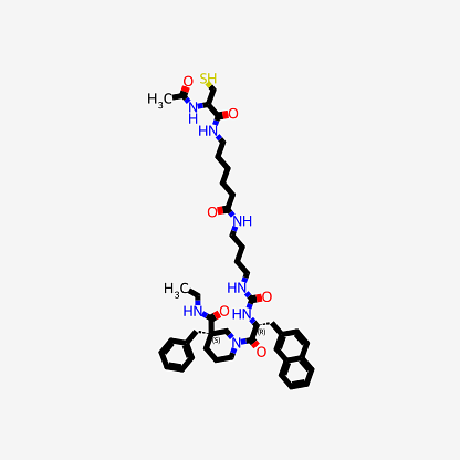 CCNC(=O)[C@]1(Cc2ccccc2)CCCN(C(=O)[C@@H](Cc2ccc3ccccc3c2)NC(=O)NCCCCNC(=O)CCCCCNC(=O)C(CS)NC(C)=O)C1